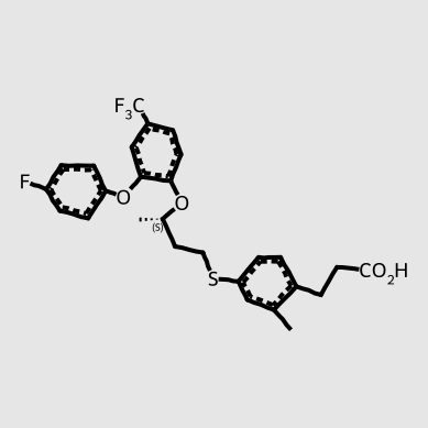 Cc1cc(SCC[C@H](C)Oc2ccc(C(F)(F)F)cc2Oc2ccc(F)cc2)ccc1CCC(=O)O